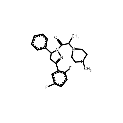 CC(C(=O)N1N=C(c2cc(F)ccc2F)C[C]1c1ccccc1)N1CCN(C)CC1